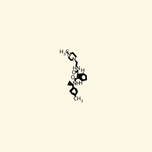 Cc1ccc(C2(NC(=O)[C@H]3[C@H](C(=O)NCCN4CCN(C)CC4)[C@H]4CC[C@@H]3C43CC3)CC2)cc1